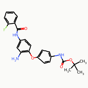 CC(C)(C)OC(=O)Nc1ccc(Oc2ccc(NC(=O)c3ccccc3F)cc2N)cc1